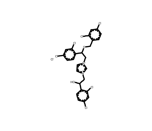 OC(Cn1cc[n+](CC(OCc2ccc(Cl)cc2Cl)c2ccc(Cl)cc2Cl)c1)c1ccc(Cl)cc1Cl.[Cl-]